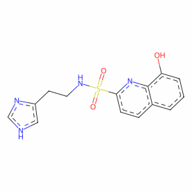 O=S(=O)(NCCc1c[nH]cn1)c1ccc2cccc(O)c2n1